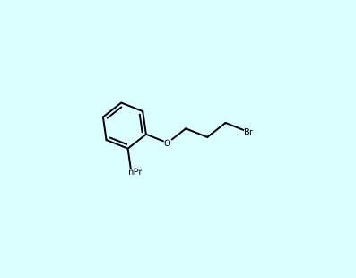 CCCc1ccccc1OCCCBr